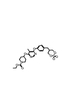 CCOC(=O)N1CCC(Oc2ncnc(Oc3ccc(CC4COS(=O)(=O)OC4)cc3)c2C)CC1